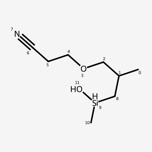 CC(COCCC#N)C[SiH](C)O